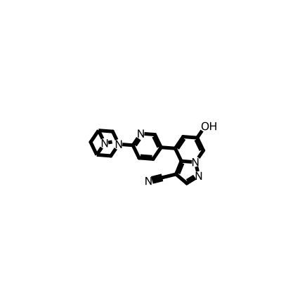 CN1C2CC1CN(c1ccc(-c3cc(O)cn4ncc(C#N)c34)cn1)C2